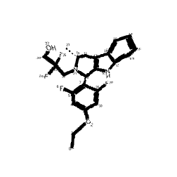 [CH2]COc1cc(F)c([C@@H]2c3[nH]c4ccccc4c3C[C@@H](C)N2CC(F)(F)CO)c(F)c1